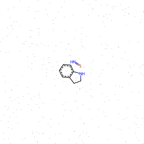 N=S.c1ccc2c(c1)CCN2